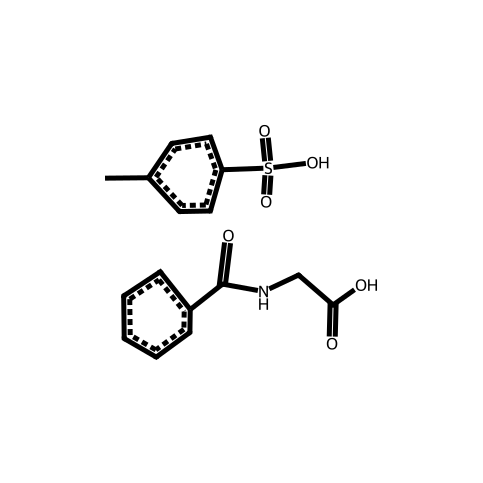 Cc1ccc(S(=O)(=O)O)cc1.O=C(O)CNC(=O)c1ccccc1